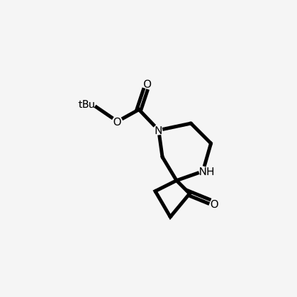 CC(C)(C)OC(=O)N1CCNC2(CCC2=O)C1